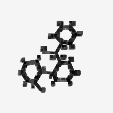 Cc1ccccc1-c1ccccc1C(C)c1ccccc1